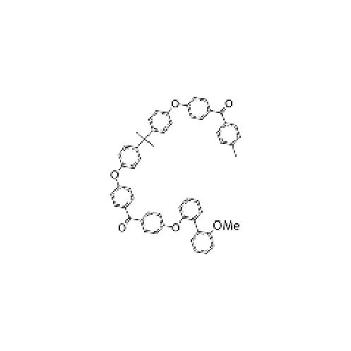 COc1ccccc1-c1ccccc1Oc1ccc(C(=O)c2ccc(Oc3ccc(C(C)(C)c4ccc(Oc5ccc(C(=O)c6ccc(C)cc6)cc5)cc4)cc3)cc2)cc1